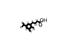 Cc1cc(C(C)C)cc(CCCC(=O)O)c1C